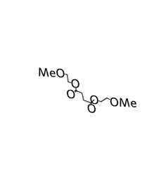 COCCOC(=O)CCC(=O)OCCOC